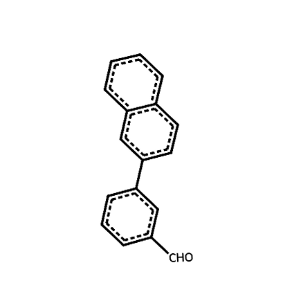 O=Cc1cccc(-c2ccc3ccccc3c2)c1